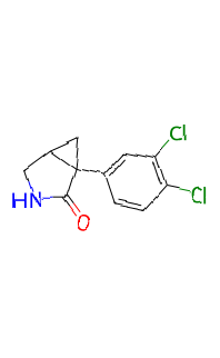 O=C1NCC2CC12c1ccc(Cl)c(Cl)c1